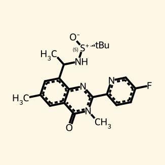 Cc1cc(C(C)N[S@+]([O-])C(C)(C)C)c2nc(-c3ccc(F)cn3)n(C)c(=O)c2c1